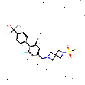 CC(C)c1cc(CN2CC3(C2)CN(S(C)(=O)=O)C3)cc(F)c1-c1ccc(C(O)(C(F)(F)F)C(F)(F)F)cc1